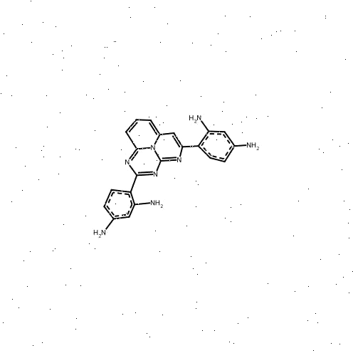 Nc1ccc(C2=CC3=CC=CC4=NC(c5ccc(N)cc5N)=NC(=N2)N34)c(N)c1